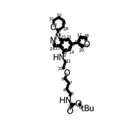 CC(C)(C)OC(=O)NCCCCOCCNc1cc(-c2ccoc2)cc2c1cnn2C1CCCCO1